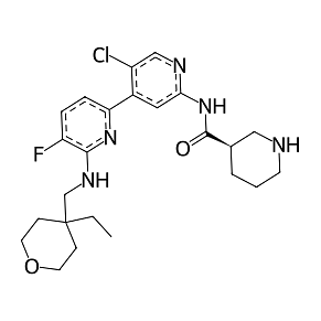 CCC1(CNc2nc(-c3cc(NC(=O)[C@@H]4CCCNC4)ncc3Cl)ccc2F)CCOCC1